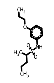 CCCOc1cccc(NS(=O)(=O)C(C)CCC)c1